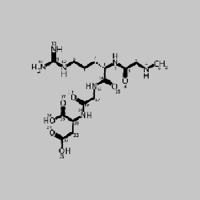 CNCC(=O)N[C@@H](CCCNC(=N)N)C(=O)NCC(=O)N[C@@H](CC(=O)O)C(=O)O